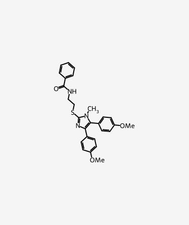 COc1ccc(-c2nc(SCCNC(=O)c3ccccc3)n(C)c2-c2ccc(OC)cc2)cc1